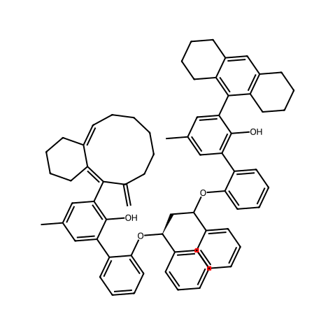 C=C1CCCCC/C=C2/CCCC/C2=C/1c1cc(C)cc(-c2ccccc2O[C@@H](CC(Oc2ccccc2-c2cc(C)cc(-c3c4c(cc5c3CCCC5)CCCC4)c2O)c2ccccc2)c2ccccc2)c1O